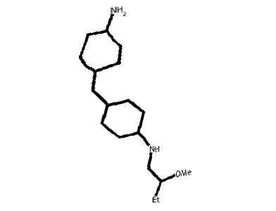 CCC(CNC1CCC(CC2CCC(N)CC2)CC1)OC